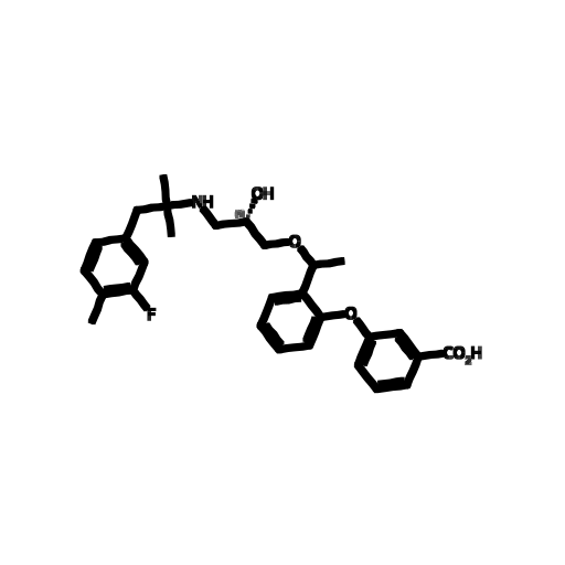 Cc1ccc(CC(C)(C)NC[C@H](O)COC(C)c2ccccc2Oc2cccc(C(=O)O)c2)cc1F